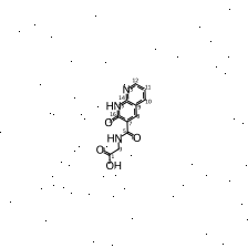 O=C(O)CNC(=O)c1cc2cccnc2[nH]c1=O